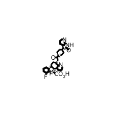 O=C(O)N[C@@H]1c2cccnc2[C@H](CC(=O)N2CCC(n3c(=O)[nH]c4ncccc43)CC2)CC[C@@H]1c1cccc(F)c1F